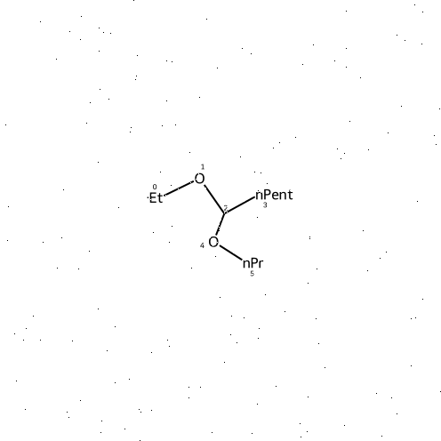 C[CH]OC(CCCCC)OCCC